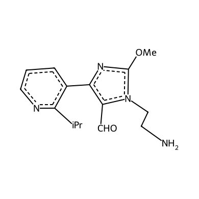 COc1nc(-c2cccnc2C(C)C)c(C=O)n1CCN